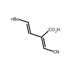 CCCC/C=C/C(=C/C#N)C(=O)O